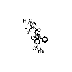 CN1CCN(C(=O)CN2CN(c3ccccc3)C3(CCN(C(=O)OC(C)(C)C)CC3)C2=O)C(C(F)(F)F)C1